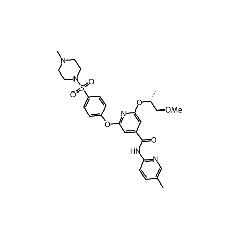 COC[C@@H](C)Oc1cc(C(=O)Nc2ccc(C)cn2)cc(Oc2ccc(S(=O)(=O)N3CCN(C)CC3)cc2)n1